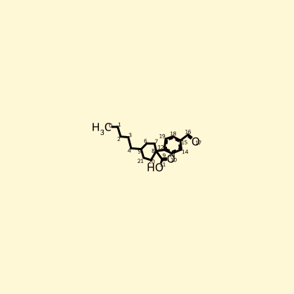 CCCCCC1CCC(C(=O)O)(c2ccc(C=O)cc2)CC1